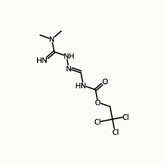 CN(C)C(=N)NN=CNC(=O)OCC(Cl)(Cl)Cl